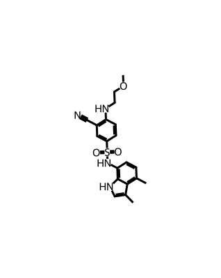 COCCNc1ccc(S(=O)(=O)Nc2ccc(C)c3c(C)c[nH]c23)cc1C#N